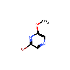 COc1cn[c]c(Br)n1